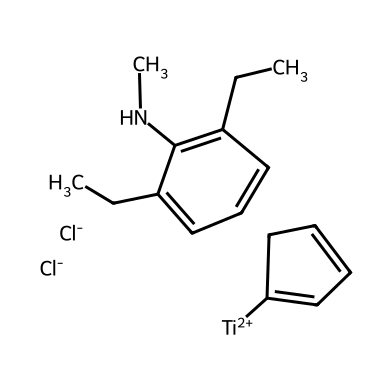 CCc1cccc(CC)c1NC.[Cl-].[Cl-].[Ti+2][C]1=CC=CC1